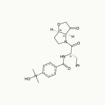 CC(C)C[C@H](NC(=O)c1ccc([N+](C)(C)O)cc1)C(=O)N1CC[C@H]2OCC(=O)[C@H]21